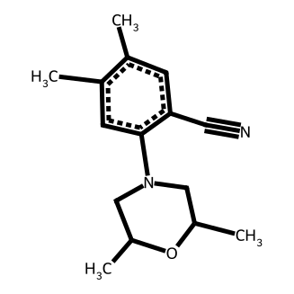 Cc1cc(C#N)c(N2CC(C)OC(C)C2)cc1C